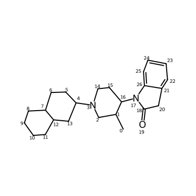 CC1CN(C2CCC3CCCCC3C2)CCC1N1C(=O)Cc2ccccc21